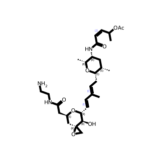 CC(=O)OC(C)/C=C\C(=O)N[C@@H]1C[C@H](C)[C@H](C/C=C(C)/C=C/[C@H]2O[C@H](CC(=O)NCCN)C[C@@]3(CO3)[C@@H]2O)O[C@@H]1C